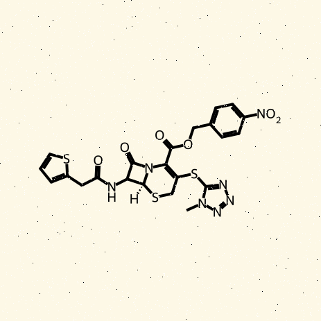 Cn1nnnc1SC1=C(C(=O)OCc2ccc([N+](=O)[O-])cc2)N2C(=O)C(NC(=O)Cc3cccs3)[C@@H]2SC1